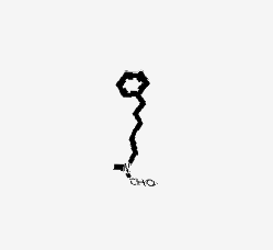 CN([C]=O)CCCCCc1ccccc1